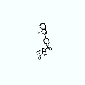 O=C1NC2(CO1)CC(C(=O)N1CCC(c3cc4cccnc4[nH]3)CC1)C2